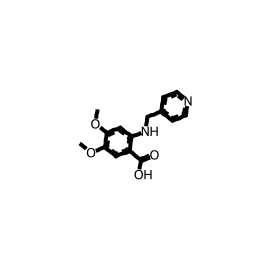 COc1cc(NCc2ccncc2)c(C(=O)O)cc1OC